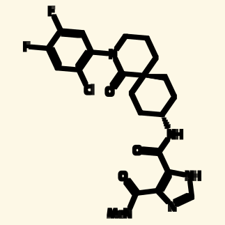 CNC(=O)c1nc[nH]c1C(=O)N[C@H]1CC[C@@]2(CCCN(c3cc(F)c(F)cc3Cl)C2=O)CC1